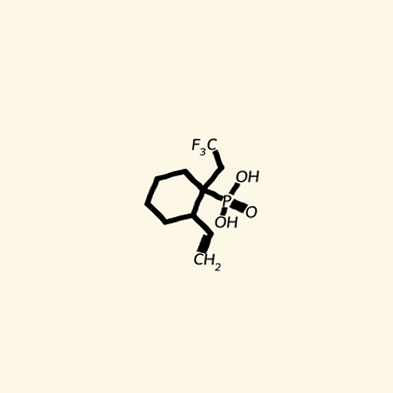 C=CC1CCCCC1(CC(F)(F)F)P(=O)(O)O